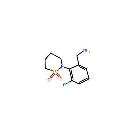 NCc1cccc(F)c1N1CCCCS1(=O)=O